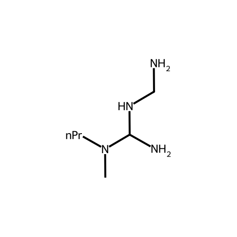 CCCN(C)C(N)NCN